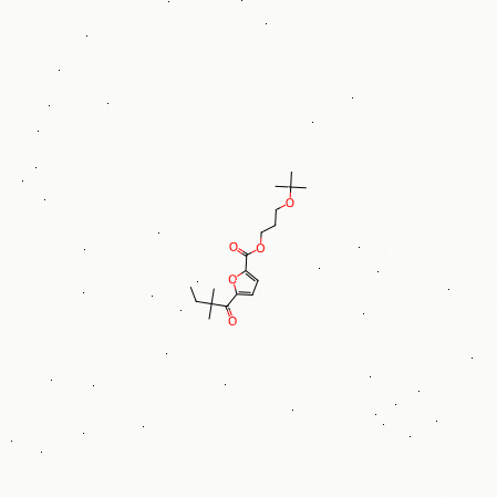 CCC(C)(C)C(=O)c1ccc(C(=O)OCCCOC(C)(C)C)o1